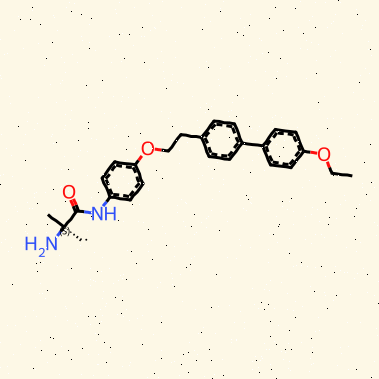 [CH2][C@@](C)(N)C(=O)Nc1ccc(OCCc2ccc(-c3ccc(OCC)cc3)cc2)cc1